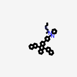 C=C/C=C\C=C(/C)n1c(-c2ccc(-c3ccc4c(-c5ccc6ccccc6c5)c5ccccc5c(-c5ccc6ccccc6c5)c4c3)cc2)nc2ccccc21